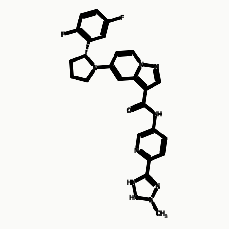 CN1N=C(c2ccc(NC(=O)c3cnn4ccc(N5CCC[C@@H]5c5cc(F)ccc5F)cc34)cn2)NN1